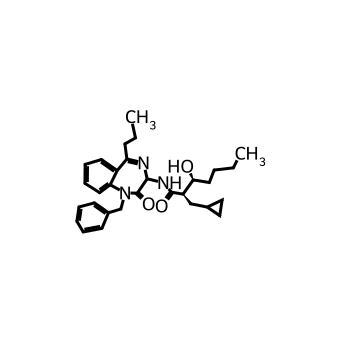 CCCC[C@H](O)[C@@H](CC1CC1)C(=O)NC1N=C(CCC)c2ccccc2N(Cc2ccccc2)C1=O